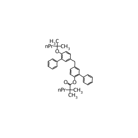 CCCC(C)(C)Oc1ccc(Cc2ccc(OC(=O)C(C)(C)CCC)c(-c3ccccc3)c2)cc1-c1ccccc1